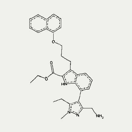 CCOC(=O)c1[nH]c2c(-c3c(CN)nn(C)c3CC)cccc2c1CCCOc1cccc2ccccc12